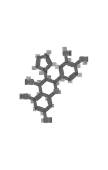 Oc1cc(O)c2c(c1)OC(c1ccc(O)c(O)c1)C(n1ccnc1)C2O